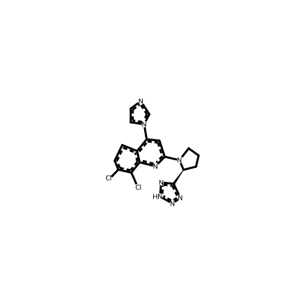 Clc1ccc2c(-n3ccnc3)cc(N3CCC[C@H]3c3nn[nH]n3)nc2c1Cl